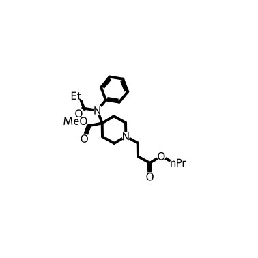 CCCOC(=O)CCN1CCC(C(=O)OC)(N(C(=O)CC)c2ccccc2)CC1